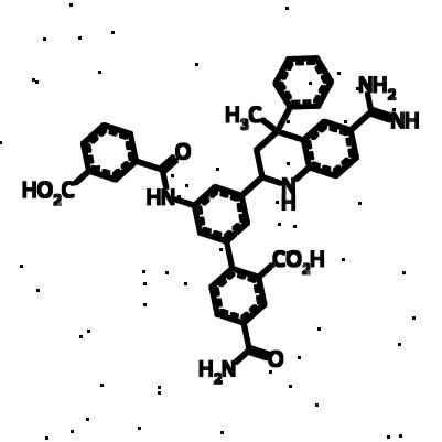 CC1(c2ccccc2)CC(c2cc(NC(=O)c3cccc(C(=O)O)c3)cc(-c3ccc(C(N)=O)cc3C(=O)O)c2)Nc2ccc(C(=N)N)cc21